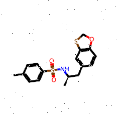 Cc1ccc(S(=O)(=O)N[C@H](C)Cc2ccc3c(c2)SCO3)cc1